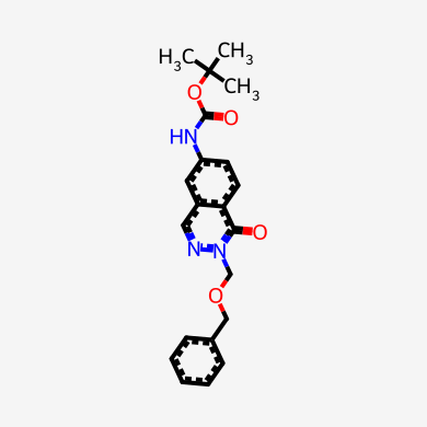 CC(C)(C)OC(=O)Nc1ccc2c(=O)n(COCc3ccccc3)ncc2c1